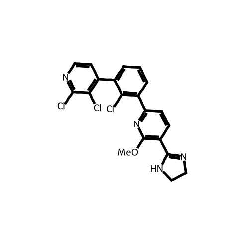 COc1nc(-c2cccc(-c3ccnc(Cl)c3Cl)c2Cl)ccc1C1=NCCN1